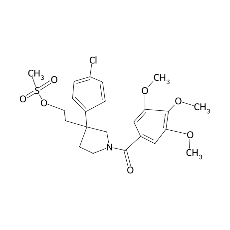 COc1cc(C(=O)N2CCC(CCOS(C)(=O)=O)(c3ccc(Cl)cc3)C2)cc(OC)c1OC